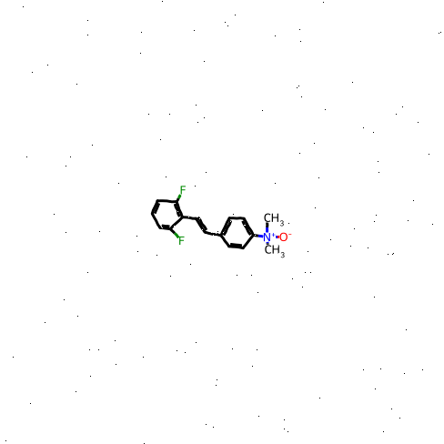 C[N+](C)([O-])c1ccc(C=Cc2c(F)cccc2F)cc1